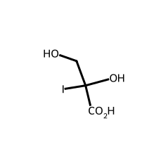 O=C(O)C(O)(I)CO